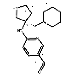 O=Cc1ccc(N[C@]2(CC3CCCCC3)CCNC2)nc1